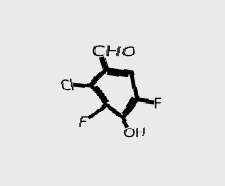 O=Cc1cc(F)c(O)c(F)c1Cl